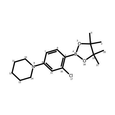 CC1(C)OB(c2ccc(N3CCCCC3)cc2Cl)OC1(C)C